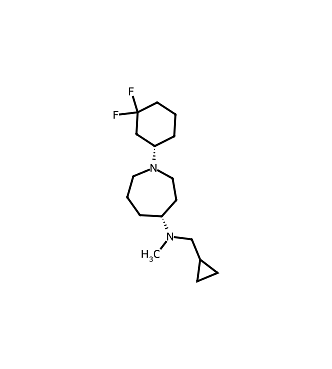 CN(CC1CC1)[C@@H]1CCCN([C@H]2CCCC(F)(F)C2)CC1